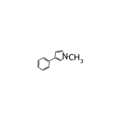 Cn1ccc(-c2ccccc2)c1